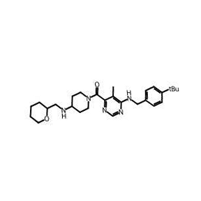 Cc1c(NCc2ccc(C(C)(C)C)cc2)ncnc1C(=O)N1CCC(NCC2CCCCO2)CC1